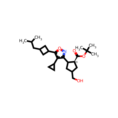 CC(C)CC1CC(c2onc(C3CC(CO)C[C@@H]3C(=O)OC(C)(C)C)c2C2CC2)C1